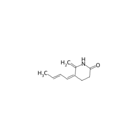 C=C1NC(=O)CC/C1=C/C=CC